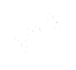 CNc1ccc2c(c1)Oc1cc(NC(=O)OCC3c4ccccc4-c4ccccc43)ccc1C21OCc2ccccc21